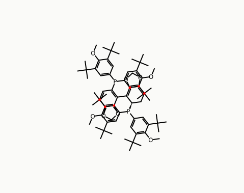 COc1c(C(C)(C)C)cc(P(c2cc(C(C)(C)C)c(OC)c(C(C)(C)C)c2)c2ccc3c(c2C2=C4OCOC4=CC[C@H]2P(c2cc(C(C)(C)C)c(OC)c(C(C)(C)C)c2)c2cc(C(C)(C)C)c(OC)c(C(C)(C)C)c2)OCO3)cc1C(C)(C)C